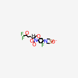 O=C(CC[C@@H]1OC(=O)N2c3cc(F)c(N4CC[S+]([O-])CC4)cc3OC[C@@H]12)C(F)F